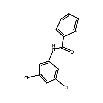 O=C(Nc1cc(Cl)cc(Cl)c1)c1[c]cccc1